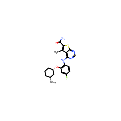 CO[C@@H]1CCC[C@H](Oc2cc(F)ccc2Nc2ncnc3sc(C(N)=O)c(C)c23)C1